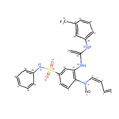 C=C/C=C\N(N=O)c1ccc(S(=O)(=O)Nc2ccccc2)cc1NC(=C)Nc1cccc(C(F)(F)F)c1